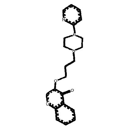 O=c1c(OCCCN2CCN(c3ccccn3)CC2)coc2ccccc12